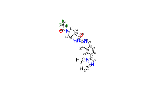 Cc1ncc(-c2ccc3cnc(NC(=O)C4CCN(C(=O)C(F)(F)F)CC4)cc3c2)n1C